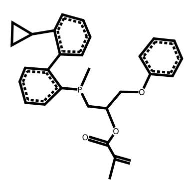 C=C(C)C(=O)OC(COc1ccccc1)CP(C)c1ccccc1-c1ccccc1C1CC1